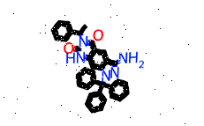 CC(c1ccccc1)n1c(=O)[nH]c2cc3c(cc2c1=O)c(N)nn3C(c1ccccc1)(c1ccccc1)c1ccccc1